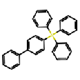 c1ccc(-c2ccc(S(c3ccccc3)(c3ccccc3)c3ccccc3)cc2)cc1